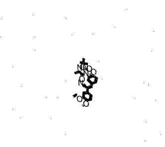 CCOc1cc(C(C#N)=Cc2ccc(OC)c(N(C(=O)OC(C)(C)C)C(=O)C(C)N)c2)ccc1OC